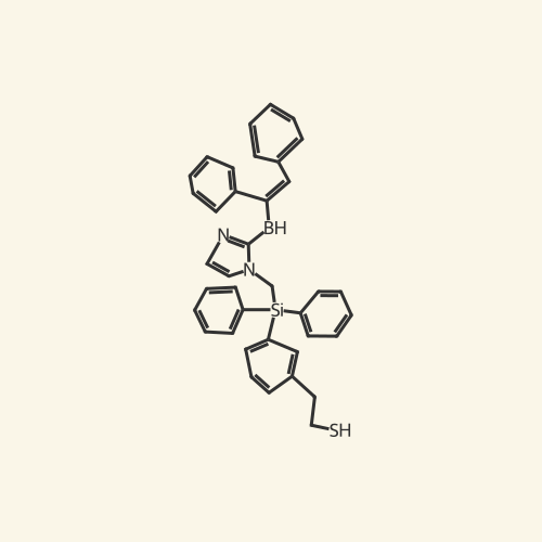 SCCc1cccc([Si](Cn2ccnc2BC(=Cc2ccccc2)c2ccccc2)(c2ccccc2)c2ccccc2)c1